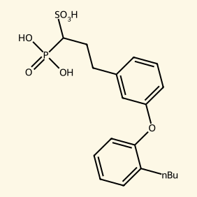 CCCCc1ccccc1Oc1cccc(CCC(P(=O)(O)O)S(=O)(=O)O)c1